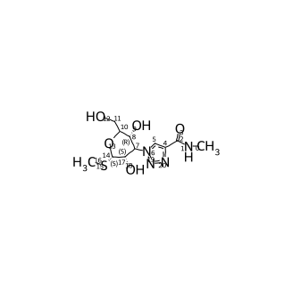 CNC(=O)c1cn(C2[C@@H](O)C(CO)O[C@@H](SC)[C@H]2O)nn1